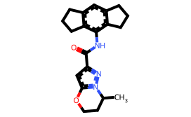 CC1CCOc2cc(C(=O)Nc3c4c(cc5c3CCC5)CCC4)nn21